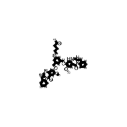 COc1cc2c(cc1OCc1cc(COc3cc4c(cc3OC)C(=O)N3c5ccccc5C[C@H]3CN4)cc(OCCCCC(C)=O)c1)N=C[C@@H]1Cc3ccccc3N1C2=O